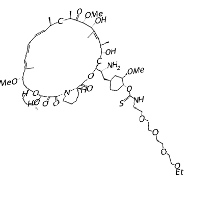 CCOCCOCCOCCOCCNC(=S)O[C@@H]1CC[C@@H](C[C@@H](N)[C@@H]2C[C@@H](O)[C@H](C)/C=C(\C)[C@@H](O)[C@@H](OC)C(=O)[C@H](C)C[C@H](C)/C=C/C=C/C=C(\C)[C@@H](OC)C[C@@H]3CC[C@@H](C)[C@@](O)(O3)C(=O)C(=O)N3CCCC[C@H]3C(=O)O2)C[C@H]1OC